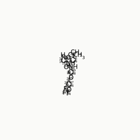 CC(C)(C)c1ccccc1Oc1ncccc1NC(=O)Nc1ccc(OCc2ccc(OC(F)(F)F)cc2)cc1